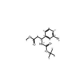 COC(=O)CC(NC(=O)OC(C)(C)C)c1ccnc(Br)c1